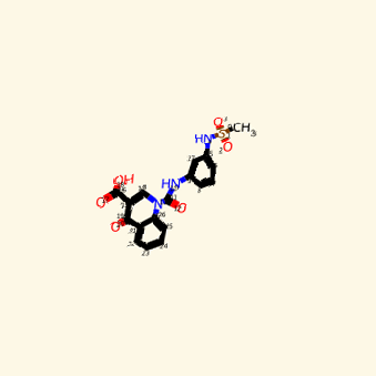 CS(=O)(=O)Nc1cccc(NC(=O)n2cc(C(=O)O)c(=O)c3ccccc32)c1